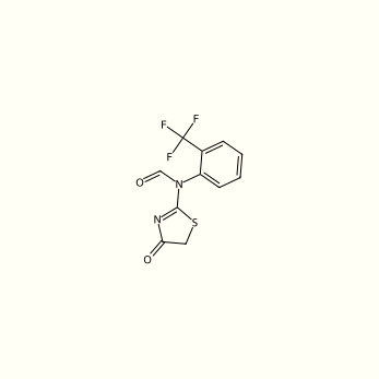 O=CN(C1=NC(=O)CS1)c1ccccc1C(F)(F)F